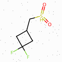 O=[SH](=O)CC1CC(F)(F)C1